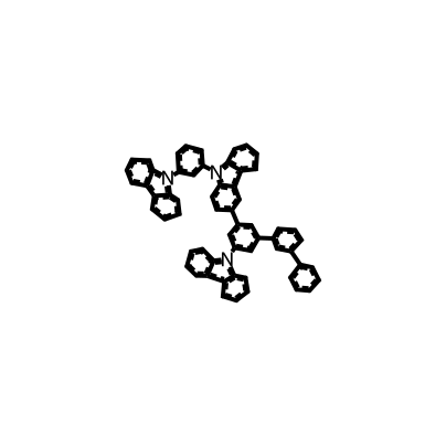 c1ccc(-c2cccc(-c3cc(-c4ccc5c(c4)c4ccccc4n5-c4cccc(-n5c6ccccc6c6ccccc65)c4)cc(-n4c5ccccc5c5ccccc54)c3)c2)cc1